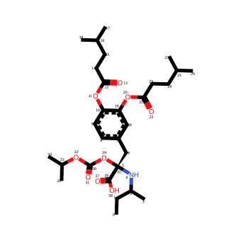 CCC(C)N[C@@](Cc1ccc(OC(=O)CCC(C)C)c(OC(=O)CCC(C)C)c1)(OC(=O)OC(C)C)C(=O)O